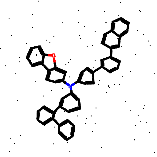 c1ccc(-c2ccccc2-c2cccc(N(c3ccc(-c4cccc(-c5ccc6ccccc6c5)c4)cc3)c3ccc4c(c3)oc3ccccc34)c2)cc1